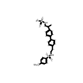 COc1ccc(S(=O)(=O)NCCc2ccc(-c3ccc(C(C)CNS(=O)(=O)C(C)C)cc3)cc2)cc1